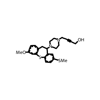 COc1ccc2c(c1)Sc1ccc(SC)cc1C(N1CCN(CC#CCO)CC1)C2